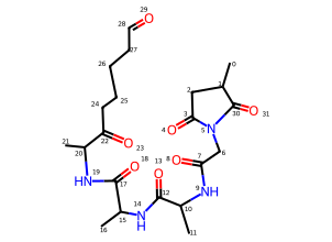 CC1CC(=O)N(CC(=O)NC(C)C(=O)NC(C)C(=O)NC(C)C(=O)CCCCC=O)C1=O